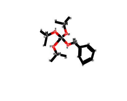 C[SiH](C)O[Si](O[SiH2]c1ccccc1)(O[SiH](C)C)O[SiH](C)C